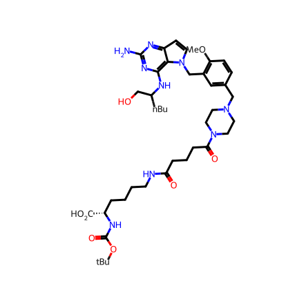 CCCCC(CO)Nc1nc(N)nc2ccn(Cc3cc(CN4CCN(C(=O)CCCC(=O)NCCCC[C@H](NC(=O)OC(C)(C)C)C(=O)O)CC4)ccc3OC)c12